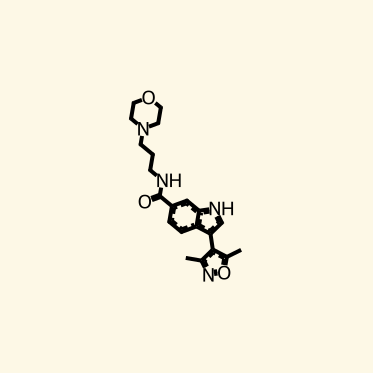 Cc1noc(C)c1-c1c[nH]c2cc(C(=O)NCCCN3CCOCC3)ccc12